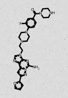 Nc1nc2c(ncn2CCN2CCN(c3ccc(C(=O)N4CCNCC4)cc3F)CC2)c2cc(-c3ccco3)nn12